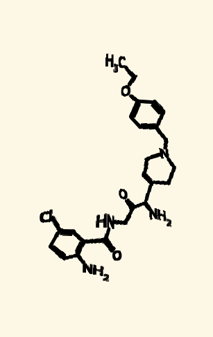 CCOc1ccc(CN2CCC(C(N)C(=O)CNC(=O)c3cc(Cl)ccc3N)CC2)cc1